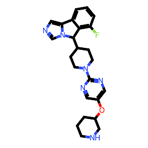 Fc1cccc2c1C(C1CCN(c3ncc(OC4CCCNC4)cn3)CC1)n1cncc1-2